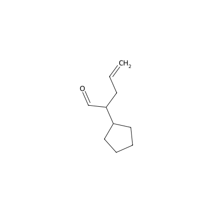 C=CCC(C=O)C1CCCC1